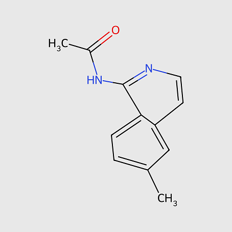 CC(=O)Nc1nccc2cc(C)ccc12